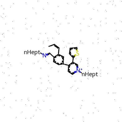 C/C=C\c1cc(-c2cc[n+](CCCCCCC)cc2-c2cccs2)ccc1/C=N/CCCCCCC